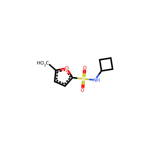 O=C(O)c1ccc(S(=O)(=O)NC2CCC2)o1